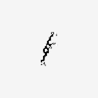 CCCCCc1ccc(OC(CCCCC)C(N)=O)cc1